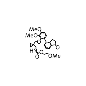 COCCOC(=O)NCC1(COc2c(-c3cccc4c3CCC4=O)ccc(OC)c2OC)CC1